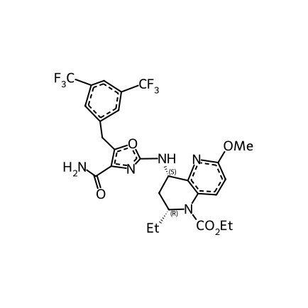 CCOC(=O)N1c2ccc(OC)nc2[C@@H](Nc2nc(C(N)=O)c(Cc3cc(C(F)(F)F)cc(C(F)(F)F)c3)o2)C[C@H]1CC